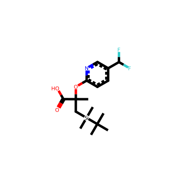 CC(C[Si](C)(C)C(C)(C)C)(Oc1ccc(C(F)F)cn1)C(=O)O